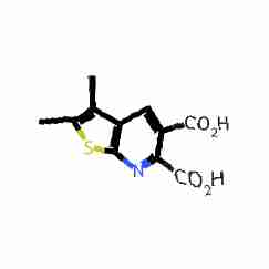 Cc1sc2nc(C(=O)O)c(C(=O)O)cc2c1C